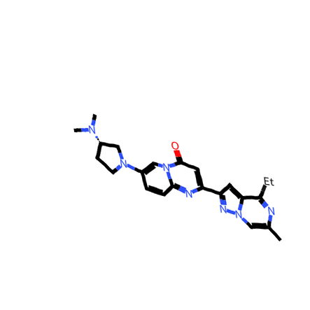 CCc1nc(C)cn2nc(-c3cc(=O)n4cc(N5CC[C@H](N(C)C)C5)ccc4n3)cc12